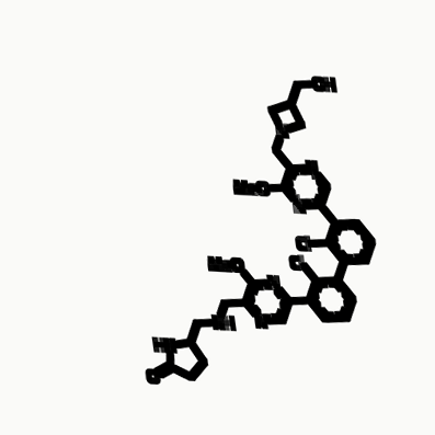 COc1nc(-c2cccc(-c3cccc(-c4cnc(CN5CC(CO)C5)c(OC)n4)c3Cl)c2Cl)cnc1CNCC1CCC(=O)N1